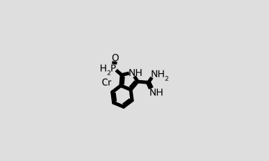 N=C(N)c1[nH]c([PH2]=O)c2ccccc12.[Cr]